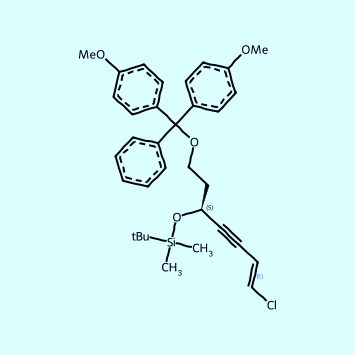 COc1ccc(C(OCC[C@@H](C#C/C=C/Cl)O[Si](C)(C)C(C)(C)C)(c2ccccc2)c2ccc(OC)cc2)cc1